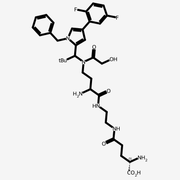 CC(C)(C)C(c1cc(-c2cc(F)ccc2F)cn1Cc1ccccc1)N(CCC(N)C(=O)NCCNC(=O)CC[C@H](N)C(=O)O)C(=O)CO